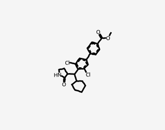 COC(=O)c1ccc(-c2cc(Cl)c(C(C3CCCCC3)C3CCNC3=O)c(Cl)c2)cc1